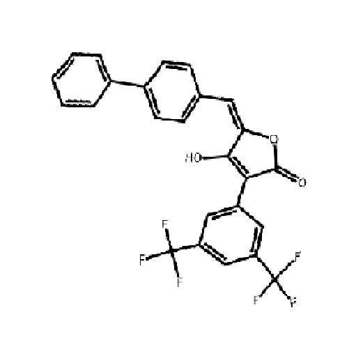 O=C1OC(=Cc2ccc(-c3ccccc3)cc2)C(O)=C1c1cc(C(F)(F)F)cc(C(F)(F)F)c1